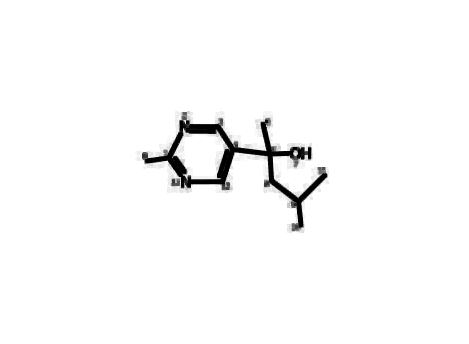 Cc1ncc(C(C)(O)CC(C)C)cn1